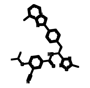 Cc1nc([C@H](Cc2ccc(-c3cn4cccc(C)c4n3)cc2)NC(=O)c2ccc(OC(C)C)c(C#N)c2)no1